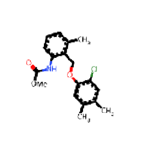 COC(=O)Nc1cccc(C)c1COc1cc(C)c(C)cc1Cl